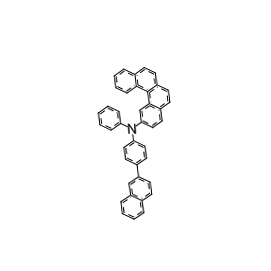 c1ccc(N(c2ccc(-c3ccc4ccccc4c3)cc2)c2ccc3ccc4ccc5ccccc5c4c3c2)cc1